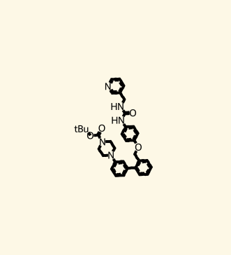 CC(C)(C)OC(=O)N1CCN(c2cccc(-c3ccccc3COc3ccc(NC(=O)NCc4cccnc4)cc3)c2)CC1